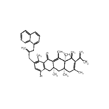 C=C(Cc1cc(C(C)C)c2c(c1C)C(=O)C1=C(C)[C@@]3(C)C(=C)C(C(=C)C)=C(C)C[C@@]3(C)C[C@@]1(C)C2)Cc1cccc2ccccc12